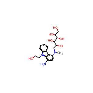 CN(CC(O)C(O)C(O)C(O)CO)c1ccc(N)c2c1c1ccccc1n2CCO